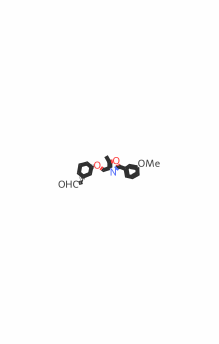 COc1cccc(-c2nc(CO[C@H]3CCC[C@@H](CC=O)C3)c(C)o2)c1